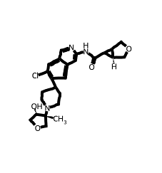 C[C@@]1(N2CCC(c3cc4cc(NC(=O)C5C6COC[C@H]65)ncc4cc3Cl)CC2)COC[C@@H]1O